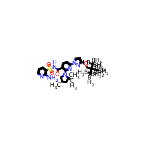 BC(B)(B)C(COc1ccn(-c2ccc(C(=O)NS(=O)(=O)c3cccnc3N)c(N3C[C@@H](C)CC3(C)C)n2)n1)(C(B)(B)B)C(B)(B)B